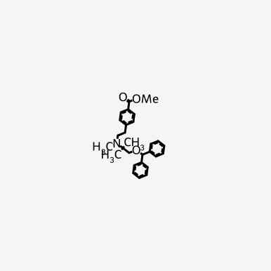 COC(=O)c1ccc(CCN(C)C(C)(C)COC(c2ccccc2)c2ccccc2)cc1